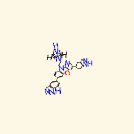 c1cc2c(cc1-c1ccc3[nH]ncc3c1)Oc1cc(-c3ccc4[nH]ncc4c3)cnc1N2CCN1C[C@@H]2C[C@H]1CN2